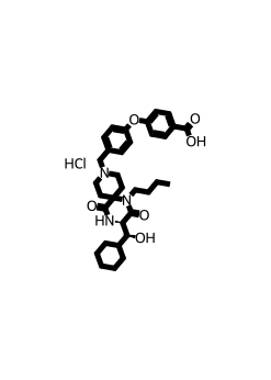 CCCCN1C(=O)[C@H]([C@@H](O)C2CCCCC2)NC(=O)C12CCN(Cc1ccc(Oc3ccc(C(=O)O)cc3)cc1)CC2.Cl